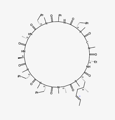 C/C=C/C[C@@H](C)C[C@H]1C(=O)N[C@@H](CC)C(=O)N(C)CC(=O)N(C)[C@@H](CC(C)C)C(=O)NC(C(C)C)C(=O)N(C)[C@@H](CC(C)C)C(=O)N[C@@H](C)C(=O)N[C@H](C)C(=O)N(C)[C@@H](CC(C)C)C(=O)N(C)[C@@H](CC(C)C)C(=O)N(C)[C@@H](C)C(=O)N1C